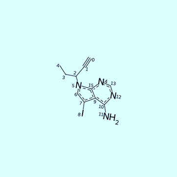 C#CC(CC)n1cc(I)c2c(N)ncnc21